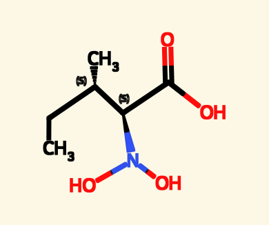 CC[C@H](C)[C@@H](C(=O)O)N(O)O